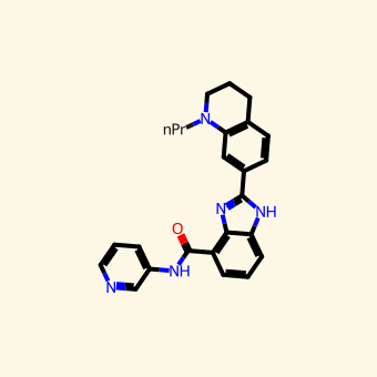 CCCN1CCCc2ccc(-c3nc4c(C(=O)Nc5cccnc5)cccc4[nH]3)cc21